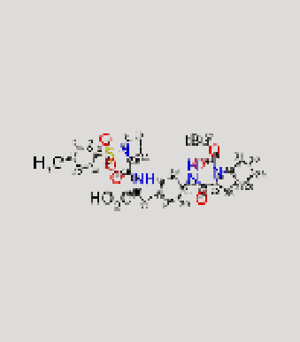 Cc1ccc(S(=O)(=O)N2CCC[C@H]2C(=O)N[C@H](Cc2ccc(NC(=O)C3Cc4ccccc4N3C(=O)OC(C)(C)C)cc2)C(=O)O)cc1